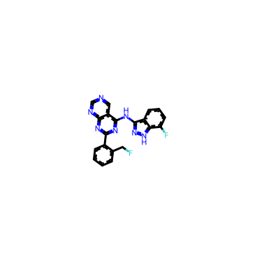 FCc1ccccc1-c1nc(Nc2n[nH]c3c(F)cccc23)c2cncnc2n1